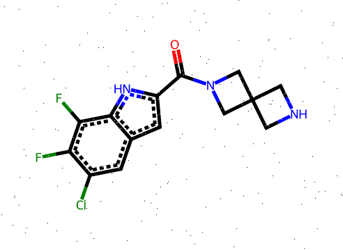 O=C(c1cc2cc(Cl)c(F)c(F)c2[nH]1)N1CC2(CNC2)C1